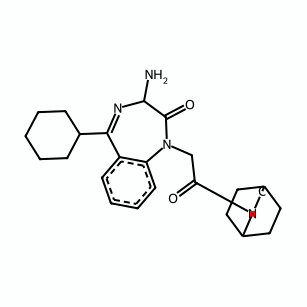 NC1N=C(C2CCCCC2)c2ccccc2N(CC(=O)N2CC3CCC(CC3)C2)C1=O